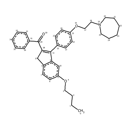 CCCCOc1ccc2c(c1)C(c1ccc(OCCN3CCCCCC3)cc1)=C(C(=O)c1ccccc1)C2